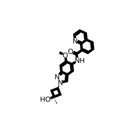 COc1cc2nn([C@H]3C[C@](C)(O)C3)cc2cc1NC(=O)c1cccc2cccnc12